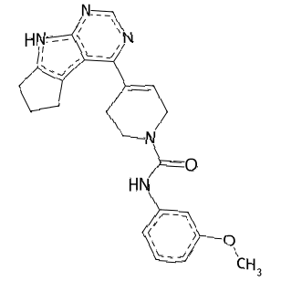 COc1cccc(NC(=O)N2CC=C(c3ncnc4[nH]c5c(c34)CCC5)CC2)c1